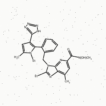 CCc1nc2c(C)cc(C(=O)N(C)O)nc2n1Cc1ccccc1-c1c(-c2nnn[nH]2)cc(C)n1CC